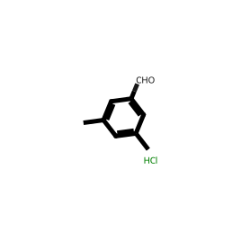 Cc1cc(C)cc(C=O)c1.Cl